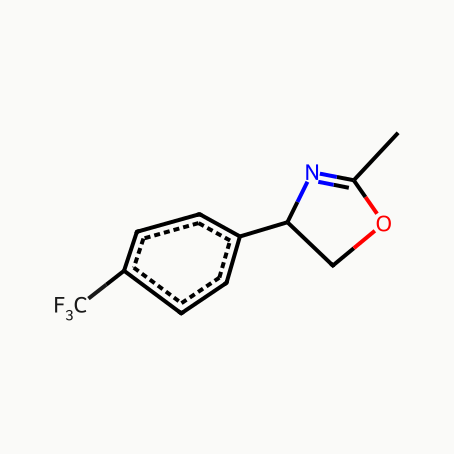 CC1=NC(c2ccc(C(F)(F)F)cc2)CO1